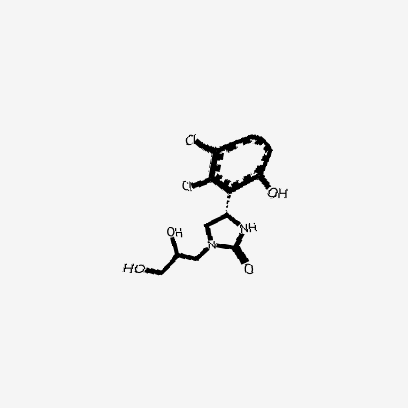 O=C1N[C@@H](c2c(O)ccc(Cl)c2Cl)CN1CC(O)CO